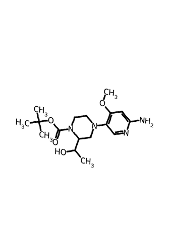 COc1cc(N)ncc1N1CCN(C(=O)OC(C)(C)C)C(C(C)O)C1